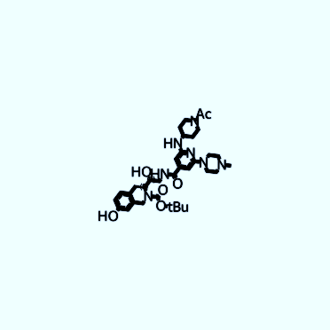 CC(=O)N1CCC(Nc2cc(C(=O)NC[C@@H](O)[C@@H]3Cc4ccc(O)cc4CN3C(=O)OC(C)(C)C)cc(N3CCN(C)CC3)n2)CC1